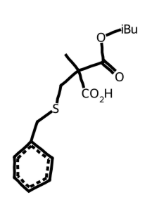 CCC(C)OC(=O)C(C)(CSCc1ccccc1)C(=O)O